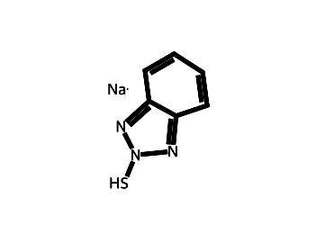 Sn1nc2ccccc2n1.[Na]